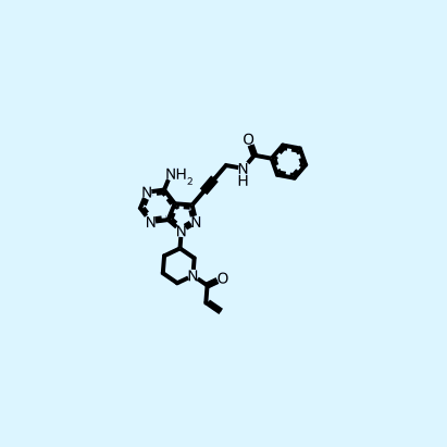 C=CC(=O)N1CCCC(n2nc(C#CCNC(=O)c3ccccc3)c3c(N)ncnc32)C1